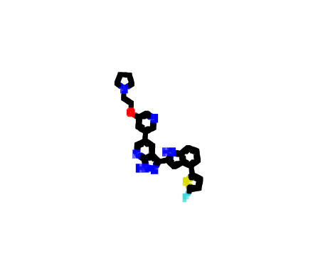 Fc1ccc(-c2cccc3[nH]c(-c4n[nH]c5ncc(-c6cncc(OCCN7CCCC7)c6)cc45)cc23)s1